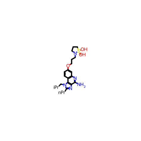 CCCc1nc2c(N)nc3cc(OCCCN4CCCS4(O)O)ccc3c2n1CC(C)C